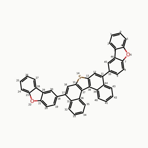 c1ccc2c(c1)oc1ccc(-c3cc4sc5cc(-c6ccc7oc8ccccc8c7c6)c6ccccc6c5c4c4ccccc34)cc12